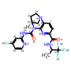 CC(NC(=O)c1ccc2c(n1)N(C(=O)Nc1cc(F)ccn1)[C@H]1CCN2C1)C(F)(F)F